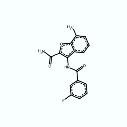 Cc1cccc2c(NC(=O)c3cccc(F)c3)c(C(N)=O)oc12